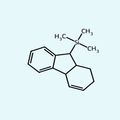 C[Si](C)(C)C1c2ccccc2C2C=CCCC21